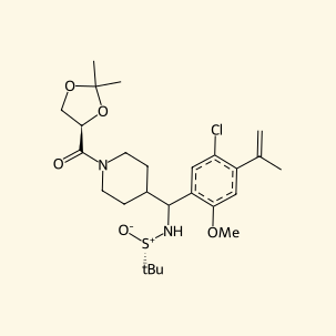 C=C(C)c1cc(OC)c(C(N[S@@+]([O-])C(C)(C)C)C2CCN(C(=O)[C@H]3COC(C)(C)O3)CC2)cc1Cl